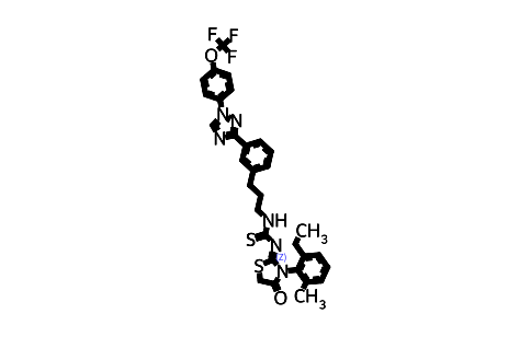 CCc1cccc(C)c1N1C(=O)CS/C1=N\C(=S)NCCCc1cccc(-c2ncn(-c3ccc(OC(F)(F)F)cc3)n2)c1